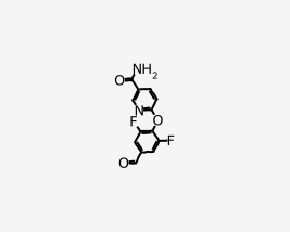 NC(=O)c1ccc(Oc2c(F)cc(C=O)cc2F)nc1